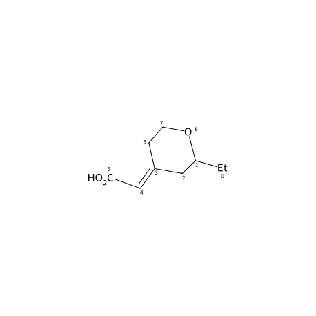 CCC1CC(=CC(=O)O)CCO1